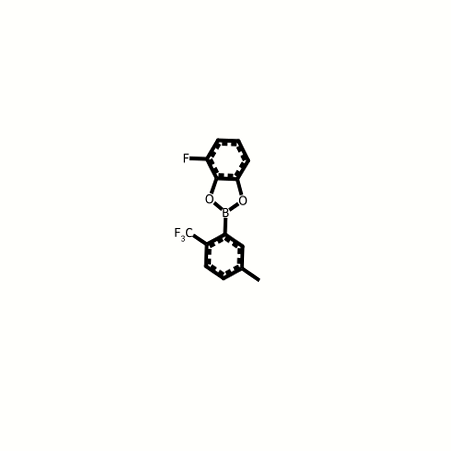 Cc1ccc(C(F)(F)F)c(B2Oc3cccc(F)c3O2)c1